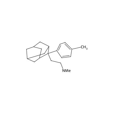 CNCCC1(c2ccc(C)cc2)C2CC3CC(C2)CC1C3